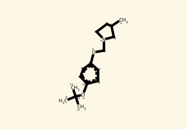 CC1CCN(COc2ccc(OC(C)(C)C)cc2)C1